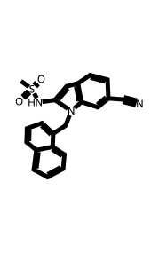 CS(=O)(=O)Nc1cc2ccc(C#N)cc2n1Cc1cccc2ccccc12